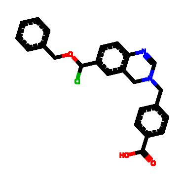 O=C(O)c1ccc(CN2C=Nc3ccc(C(Cl)OCc4ccccc4)cc3C2)cc1